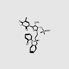 CO[C@H]1C(n2cc(C)c(=O)[nH]c2=O)O[C@H](CCP(=O)(Cc2ccccc2Cl)Oc2ccccc2Cl)[C@H]1O[Si](C)(C)C(C)(C)C